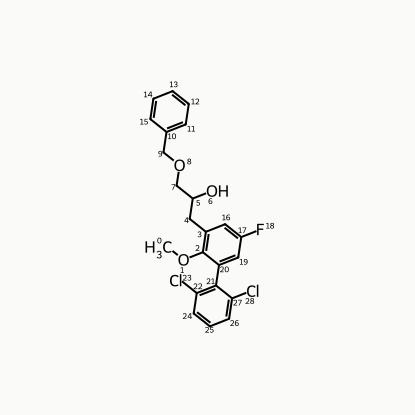 COc1c(CC(O)COCc2ccccc2)cc(F)cc1-c1c(Cl)cccc1Cl